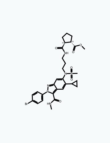 CNC(=O)c1c2cc(C3CC3)c(N(CCCNC(=O)[C@H]3CCC[C@@H]3C(=O)OC)S(C)(=O)=O)cc2nn1-c1ccc(Br)cc1